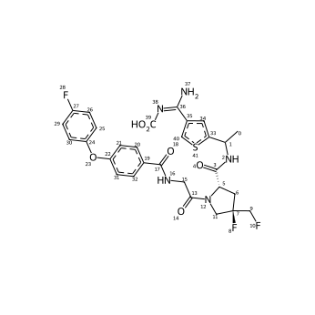 CC(NC(=O)[C@@H]1C[C@](F)(CF)CN1C(=O)CNC(=O)c1ccc(Oc2ccc(F)cc2)cc1)c1cc(/C(N)=N\C(=O)O)cs1